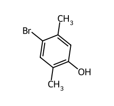 Cc1cc(Br)c(C)cc1O